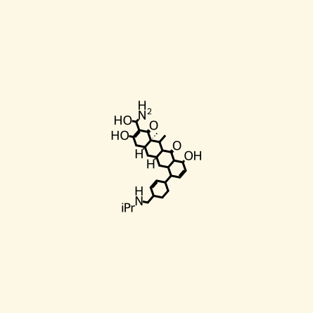 CC(C)NCC1C=CC(C2C=CC(O)C3C(=O)C4C(C)[C@]5(C)C(=O)C(C(N)O)=C(O)C[C@@H]5C[C@@H]4CC23)CC1